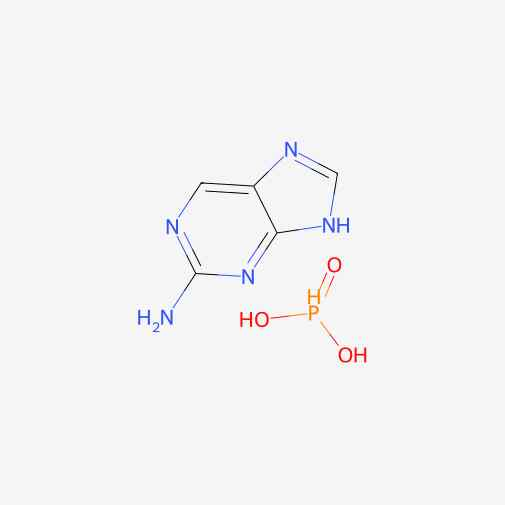 Nc1ncc2nc[nH]c2n1.O=[PH](O)O